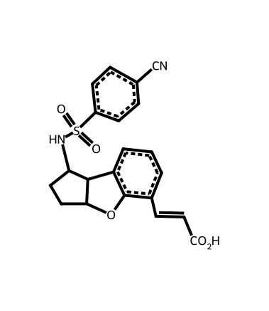 N#Cc1ccc(S(=O)(=O)NC2CCC3Oc4c(/C=C/C(=O)O)cccc4C23)cc1